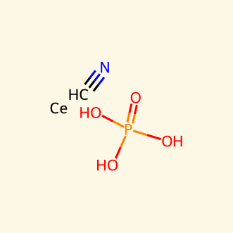 C#N.O=P(O)(O)O.[Ce]